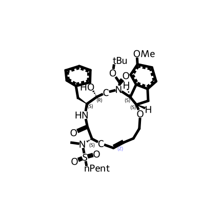 CCCCCS(=O)(=O)N(C)[C@H]1C/C=C\CCO[C@H]2Cc3ccc(OC)cc3[C@@H]2N(C(=O)OC(C)(C)C)C[C@@H](O)[C@H](Cc2ccccc2)NC1=O